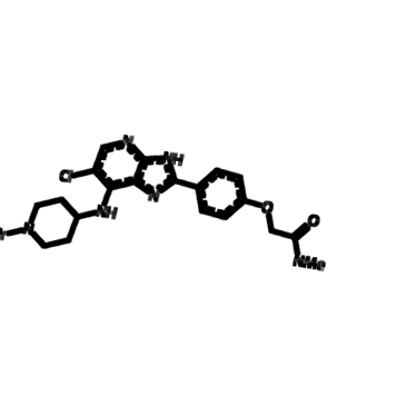 CNC(=O)COc1ccc(-c2nc3c(NC4CCN(C(C)C)CC4)c(Cl)cnc3[nH]2)cc1